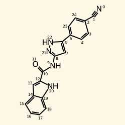 N#Cc1ccc(-c2cc(NC(=O)c3cc4ccccc4[nH]3)n[nH]2)cc1